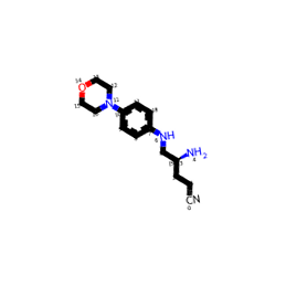 N#CCC[C@H](N)CNc1ccc(N2CCOCC2)cc1